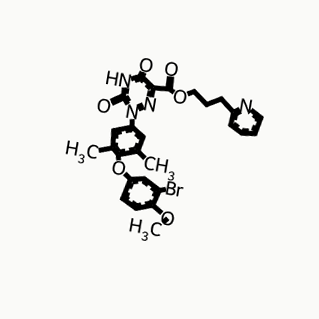 COc1ccc(Oc2c(C)cc(-n3nc(C(=O)OCCCc4ccccn4)c(=O)[nH]c3=O)cc2C)cc1Br